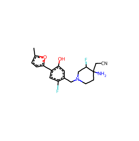 Cc1ccc(-c2cc(F)c(CN3CCC(N)(CC#N)C(F)C3)cc2O)o1